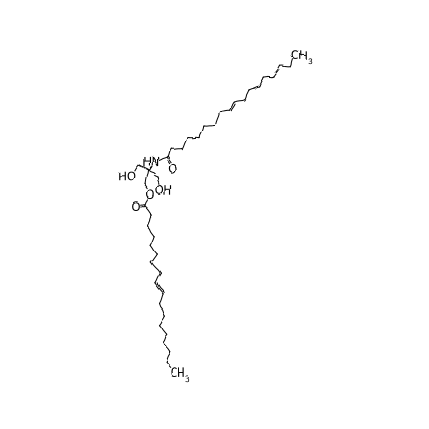 CCCCCCCCC=CCCCCCCCC(=O)NC(CO)(CO)COC(=O)CCCCCCCC=CCCCCCCCC